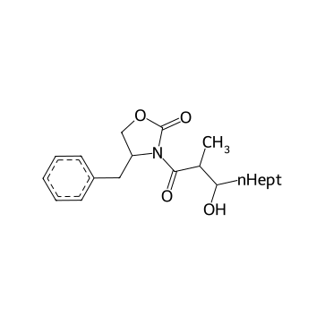 CCCCCCCC(O)C(C)C(=O)N1C(=O)OCC1Cc1ccccc1